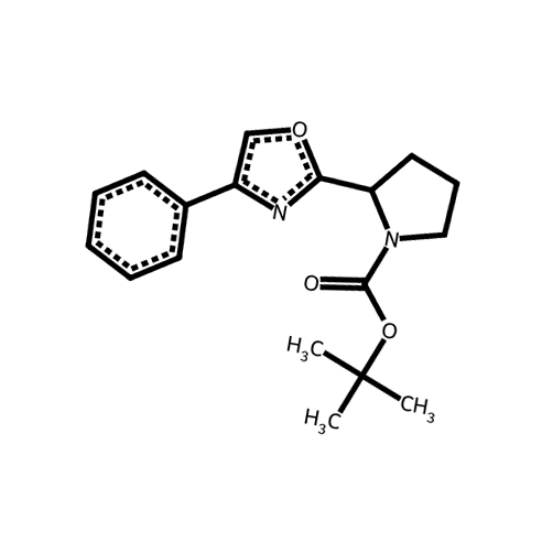 CC(C)(C)OC(=O)N1CCCC1c1nc(-c2ccccc2)co1